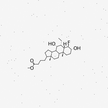 CC[C@@H]1[C@@H]2[C@@H](F)[C@H](O)CC[C@]2(C)C2CC[C@]3(C)C(CCCC(=O)OC)CCC3C2[C@@H]1O